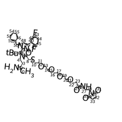 C[C@H](N)CCN(C(=O)CSCCOCCOCCOCCOCCC(=O)NCCN1C(=O)C=CC1=O)[C@@H](c1nc(-c2cc(F)ccc2F)cn1Cc1ccccc1)C(C)(C)C